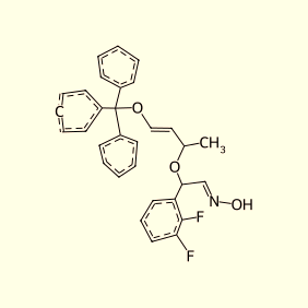 CC(C=COC(c1ccccc1)(c1ccccc1)c1ccccc1)OC(C=NO)c1cccc(F)c1F